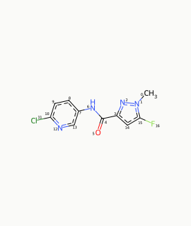 Cn1nc(C(=O)Nc2ccc(Cl)nc2)cc1F